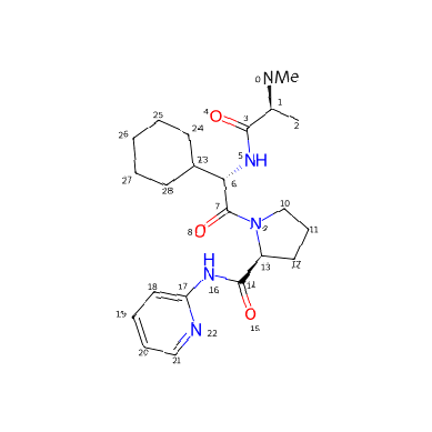 CN[C@@H](C)C(=O)N[C@H](C(=O)N1CCC[C@H]1C(=O)Nc1ccccn1)C1CCCCC1